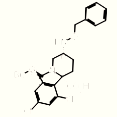 CC(C)(C)OC(=O)N1C[C@H](NOCc2ccccc2)CC[C@@]1(C(=O)O)c1c(Cl)cc(Cl)cc1Cl